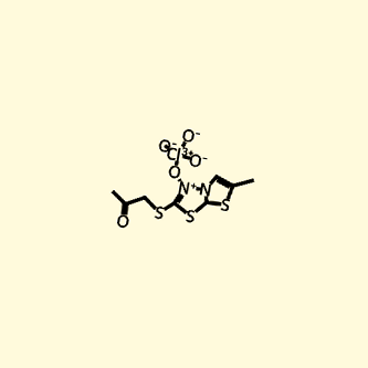 CC(=O)CSC1=[N+](O[Cl+3]([O-])([O-])[O-])N2C=C(C)SC2S1